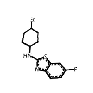 CCC1CCC(Nc2nc3ccc(F)cc3s2)CC1